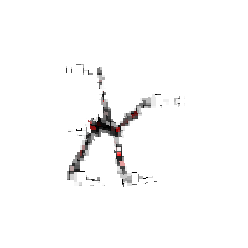 CCCCCCCCCCCCCCCCCCCCCCCCCCC=CCCc1ccccc1C1=CC(CCCCC)=C(c2ccccc2CCC=CCCCCCCCCCCCCCCCCCCCCCCCCCC)[N+]1=[N-].CCCCCCCCCCCCCCCCCCCCCCCCCC[CH2][Ni][CH2]CCCCCCCCCCCCCCCCCCCCCCCCCC